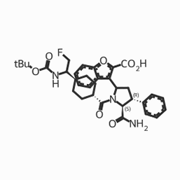 CC(C)(C)OC(=O)NC(CF)[C@H]1CC[C@H](C(=O)N2C(c3c(C(=O)O)oc4ccccc34)C[C@H](c3ccccc3)[C@H]2C(N)=O)CC1